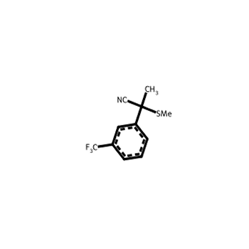 CSC(C)(C#N)c1cccc(C(F)(F)F)c1